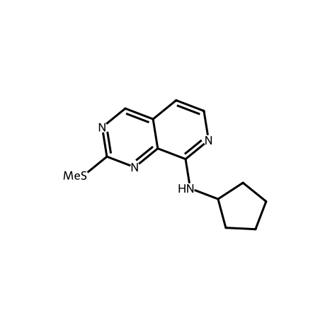 CSc1ncc2ccnc(NC3CCCC3)c2n1